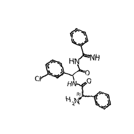 N=C(NC(=O)C(NC(=O)[C@H](N)c1ccccc1)c1cccc(Cl)c1)c1ccccc1